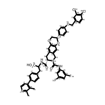 Cc1nccc(-c2ccc(CC(NC(=O)[C@@H]3Cc4cc5c(cc4CN3C(=O)Nc3cc(F)cc(F)c3)O[C@@H](c3ccc(OCc4ccc(Cl)c(Cl)c4)cc3)CO5)C(=O)O)cc2)c1C